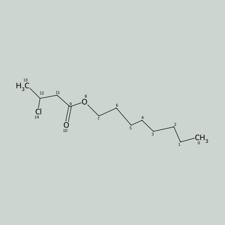 CCCCCCCCOC(=O)CC(C)Cl